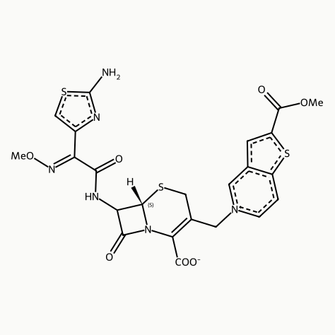 CON=C(C(=O)NC1C(=O)N2C(C(=O)[O-])=C(C[n+]3ccc4sc(C(=O)OC)cc4c3)CS[C@@H]12)c1csc(N)n1